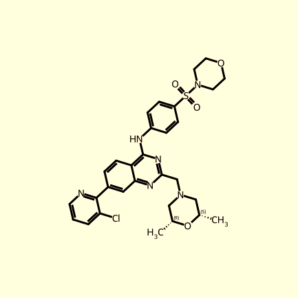 C[C@@H]1CN(Cc2nc(Nc3ccc(S(=O)(=O)N4CCOCC4)cc3)c3ccc(-c4ncccc4Cl)cc3n2)C[C@H](C)O1